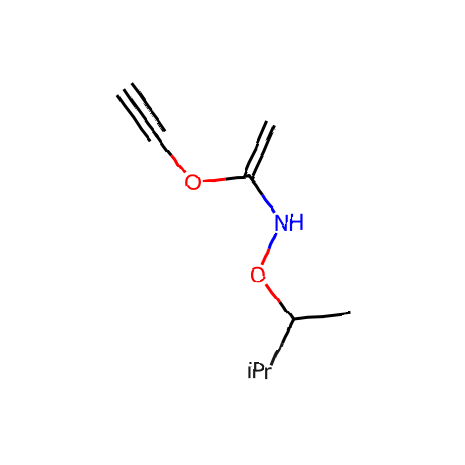 C#COC(=C)NOC(C)C(C)C